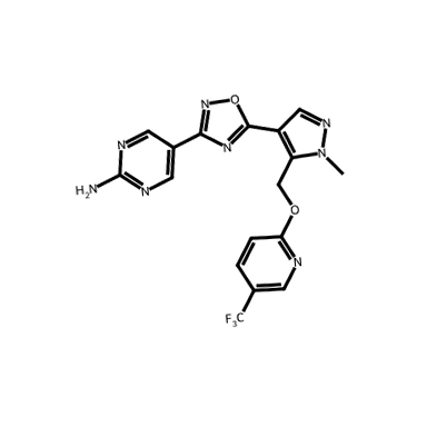 Cn1ncc(-c2nc(-c3cnc(N)nc3)no2)c1COc1ccc(C(F)(F)F)cn1